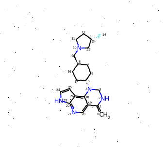 C=C1NCN([C@H]2CC[C@H](CN3CC[C@H](F)C3)CC2)c2c1cnc1[nH]ccc21